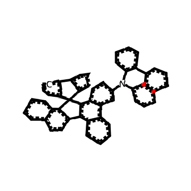 c1ccc(-c2ccccc2N(c2ccccc2)c2ccc3c4c(c5ccccc5c3c2)-c2ccc3ccccc3c2C42c3ccccc3-c3ccccc32)cc1